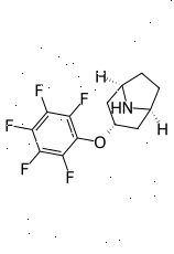 Fc1c(F)c(F)c(O[C@@H]2C[C@H]3CC[C@@H](C2)N3)c(F)c1F